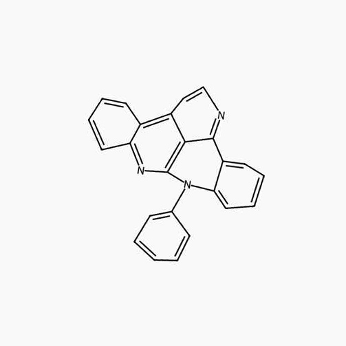 c1ccc(N2c3ccccc3-c3nccc4c3c2nc2ccccc24)cc1